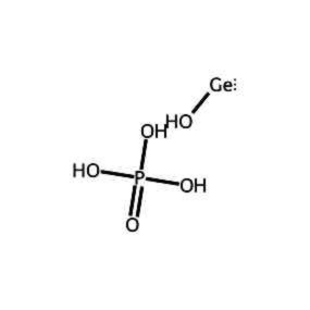 O=P(O)(O)O.[OH][Ge]